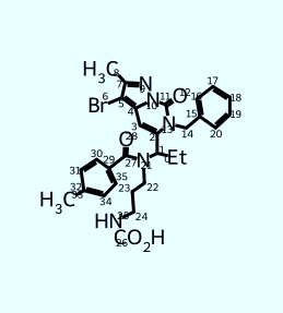 CCC(c1cc2c(Br)c(C)nn2c(=O)n1Cc1ccccc1)N(CCCNC(=O)O)C(=O)c1ccc(C)cc1